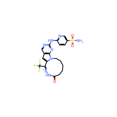 NS(=O)(=O)c1ccc(Nc2ncc3cc4n(c3n2)CCCCCC(=O)N/N=C\4C(F)(F)F)nc1